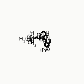 CC(C)Oc1ccc2c(c1)CCN1C[C@@H]3CCCN(S(=O)(=O)CCCNS(=O)(=O)N(C)C)[C@@H]3C[C@@H]21